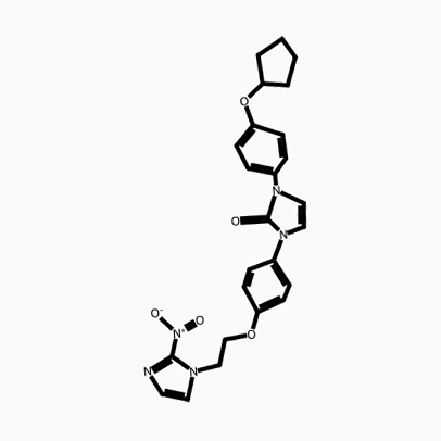 O=c1n(-c2ccc(OCCn3ccnc3[N+](=O)[O-])cc2)ccn1-c1ccc(OC2CCCC2)cc1